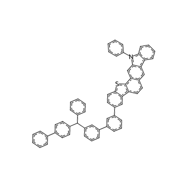 c1ccc(-c2ccc(C(c3ccccc3)c3cccc(-c4cccc(-c5ccc6sc7c8cc9c(cc8ccc7c6c5)c5ccccc5n9-c5ccccc5)c4)c3)cc2)cc1